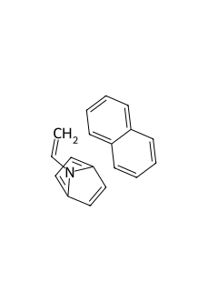 C=Cn1c2ccc1cc2.c1ccc2ccccc2c1